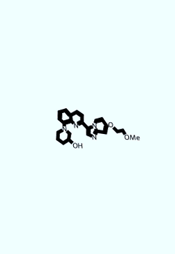 COCCOc1ccn2c(-c3ccc4cccc(N5CCCC(O)C5)c4n3)cnc2c1